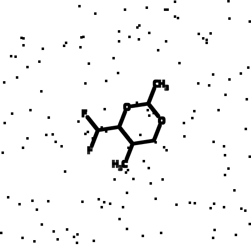 CC1OCC(C)C(C(F)F)O1